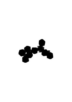 c1ccc(-c2nc(-c3ccc(-n4c5ccccc5c5c4ccc4c6ccccc6n(-c6ccccc6)c45)cc3)nc(-c3ccc4c(c3)sc3ccccc34)n2)cc1